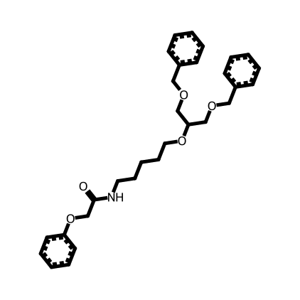 O=C(COc1ccccc1)NCCCCCOC(COCc1ccccc1)COCc1ccccc1